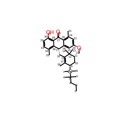 CCCC(C)(C)[Si](C)(C)[C@@H]1CCC(C)(C)C(C[C@H]2c3cc(OC)cc(C)c3C(=O)c3c(O)ccc(C)c32)=C1C